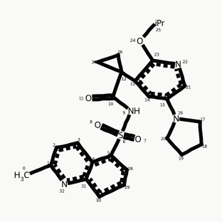 Cc1ccc2c(S(=O)(=O)NC(=O)C3(c4cc(N5CCCC5)cnc4OC(C)C)CC3)cccc2n1